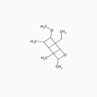 CCC12C(OC)C(C)C1C1(C)C(C)OC12